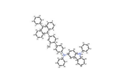 [2H]c1cc(-c2c3ccccc3c(-c3ccccc3)c3ccccc23)ccc1-c1ccc(N(c2ccccc2)c2ccc3c(c2)c2ccccc2n3-c2ccccc2)cc1